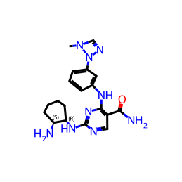 Cn1cnn1-c1cccc(Nc2nc(N[C@@H]3CCCC[C@@H]3N)ncc2C(N)=O)c1